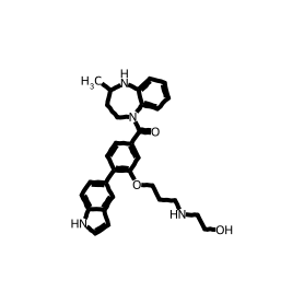 CC1CCN(C(=O)c2ccc(-c3ccc4[nH]ccc4c3)c(OCCCNCCO)c2)c2ccccc2N1